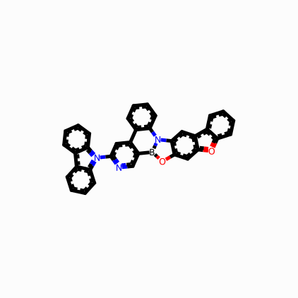 c1ccc2c(c1)-c1cc(-n3c4ccccc4c4ccccc43)ncc1B1Oc3cc4oc5ccccc5c4cc3N12